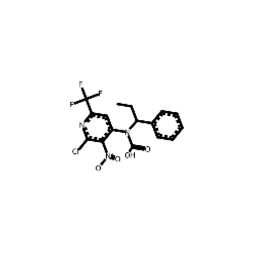 CCC(c1ccccc1)N(C(=O)O)c1cc(C(F)(F)F)nc(Cl)c1[N+](=O)[O-]